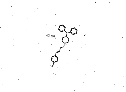 Cl.Fc1ccc(/C=C/CCN2CCC(C(c3ccccc3)c3ccccc3)CC2)cc1.O